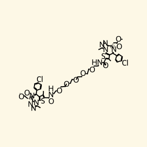 COC(=O)C[C@@H]1N=C(c2ccc(Cl)cc2)c2c(sc(C(=O)NCCOCCOCCOCCOCCOCCNC(=O)c3sc4c(c3C)C(c3ccc(Cl)cc3)=N[C@@H](CC(=O)OC)c3nnc(C)n3-4)c2C)-n2c(C)nnc21